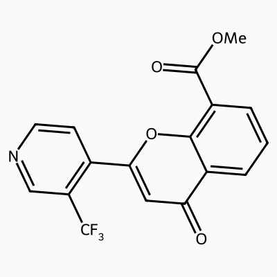 COC(=O)c1cccc2c(=O)cc(-c3ccncc3C(F)(F)F)oc12